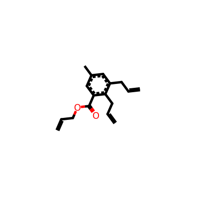 C=CCOC(=O)c1cc(C)cc(CC=C)c1CC=C